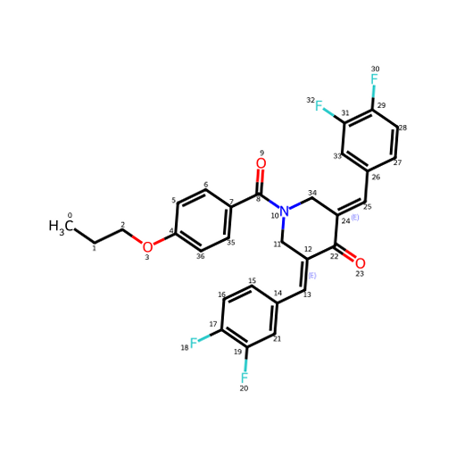 CCCOc1ccc(C(=O)N2C/C(=C\c3ccc(F)c(F)c3)C(=O)/C(=C/c3ccc(F)c(F)c3)C2)cc1